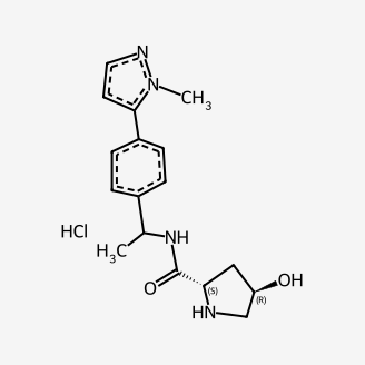 CC(NC(=O)[C@@H]1C[C@@H](O)CN1)c1ccc(-c2ccnn2C)cc1.Cl